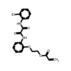 C=CC(=O)OCCOc1ccccc1NC(=O)C(=O)Nc1ccccc1CC